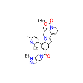 CCc1nc(C)ccc1-c1cc(C(=O)N2Cc3cnn(CC)c3C2)cc2cc(C3=CCCN(C(=O)OC(C)(C)C)C3)n(CC3CC3)c12